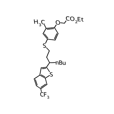 CCCCC(CCSc1ccc(OCC(=O)OCC)c(C)c1)c1cc2ccc(C(F)(F)F)cc2s1